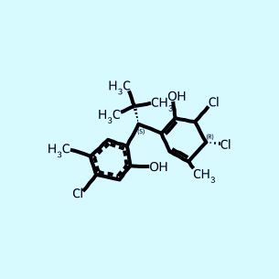 CC1=CC([C@H](c2cc(C)c(Cl)cc2O)C(C)(C)C)=C(O)C(Cl)[C@@H]1Cl